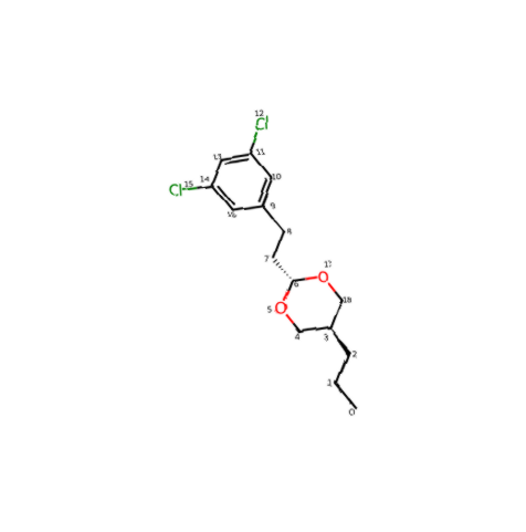 CCC[C@H]1CO[C@H](CCc2cc(Cl)cc(Cl)c2)OC1